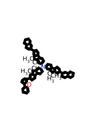 CC1(C)c2cc(-c3ccc4ccccc4c3)ccc2-c2ccc(N(c3ccc4c(c3)C(C)(C)c3cc(-c5ccc6ccccc6c5)ccc3-4)c3ccc4c(c3)C(C)(C)c3cc(-c5cccc6c5oc5ccccc56)ccc3-4)cc21